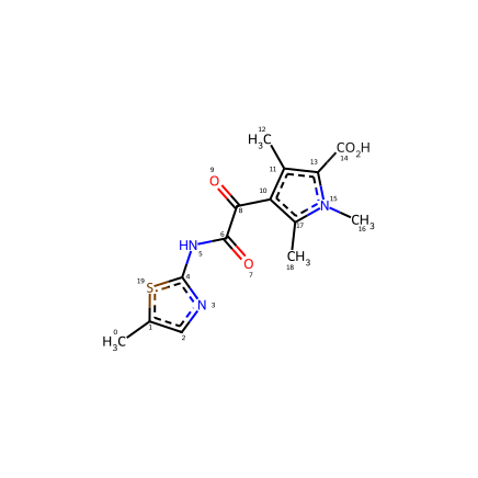 Cc1cnc(NC(=O)C(=O)c2c(C)c(C(=O)O)n(C)c2C)s1